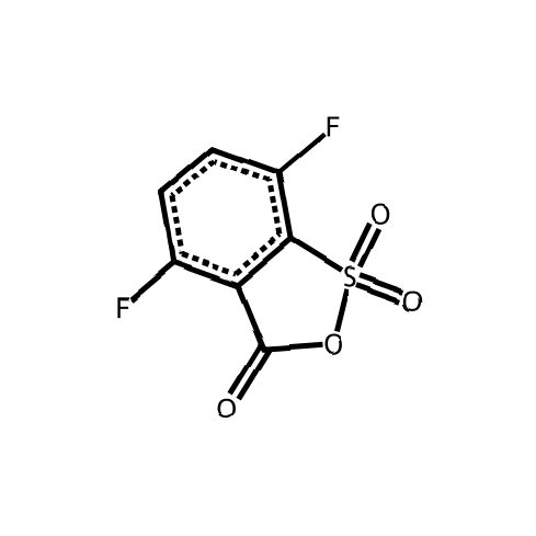 O=C1OS(=O)(=O)c2c(F)ccc(F)c21